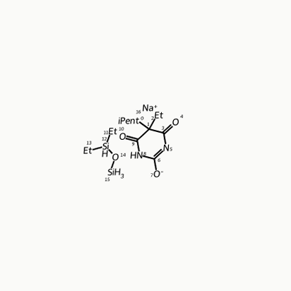 CCCC(C)C1(CC)C(=O)N=C([O-])NC1=O.CC[SiH](CC)O[SiH3].[Na+]